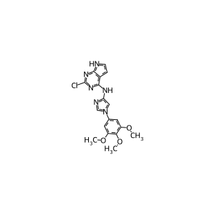 COc1cc(-n2cnc(Nc3nc(Cl)nc4[nH]ccc34)c2)cc(OC)c1OC